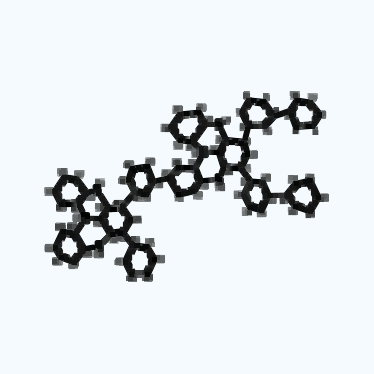 c1ccc(-c2cccc(-c3cc(-c4cccc(-c5ccccc5)c4)c4c5c3Sc3ccccc3B5c3cc(-c5cccc(-c6cc(-c7ccccc7)c7c8c6Sc6ccccc6B8c6ccccc6S7)c5)ccc3S4)c2)cc1